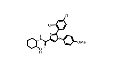 COc1ccc(-n2cc(C(=O)N[C@H]3CCCC[C@@H]3O)nc2-c2ccc(Cl)cc2Cl)cc1